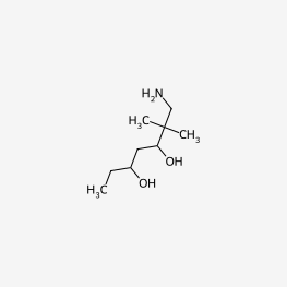 CCC(O)CC(O)C(C)(C)CN